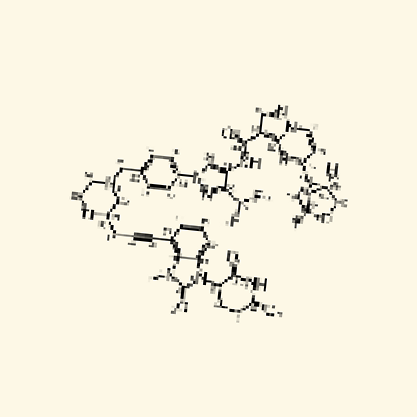 Cn1c(=O)n(C2CCC(=O)NC2=O)c2cccc(C#CC[C@@H]3CN(Cc4ccc(-n5cc(NC(=O)c6cnn7ccc(N8C[C@H]9C[C@@H]8CO9)nc67)c(C(F)F)n5)cc4)CCO3)c21